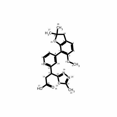 COc1ccc2c(c1-c1ccnc(C(CC(=O)O)c3nnc(C)o3)c1)OC(C)(C)C2